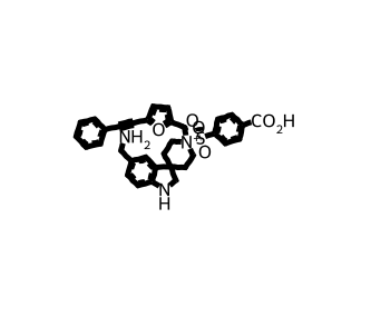 NCc1ccc2c(c1)C1(CC[N+](C(=O)c3ccc(C#Cc4ccccc4)o3)(S(=O)(=O)c3ccc(C(=O)O)cc3)CC1)CN2